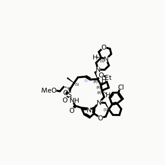 CCO[C@@]1(CN2CCN3CCOC[C@@H]3C2)/C=C/C[C@H](C)[C@@H](CCOC)S(=O)(=O)NC(=O)c2ccc3c(n2)N(C[C@@H]2CC[C@H]21)C[C@@]1(CCCc2cc(Cl)ccc21)CO3